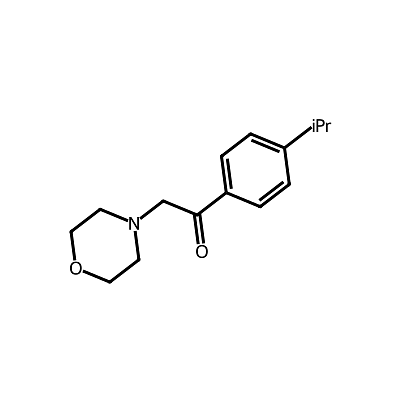 CC(C)c1ccc(C(=O)CN2CCOCC2)cc1